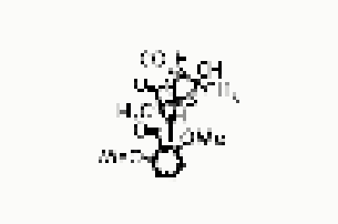 COc1cccc(OC)c1C(=O)N[C@@]1(C)C(=O)N2[C@@H](C(=O)O)C(C)(C)S[C@@H]21